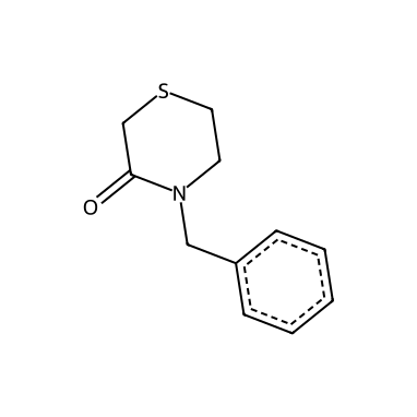 O=C1CSCCN1Cc1ccccc1